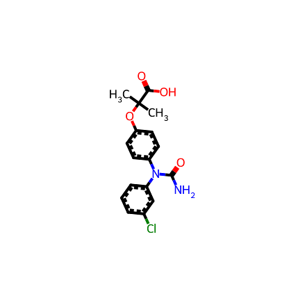 CC(C)(Oc1ccc(N(C(N)=O)c2cccc(Cl)c2)cc1)C(=O)O